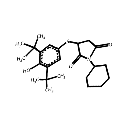 CC(C)(C)c1cc(SC2CC(=O)N(C3CCCCC3)C2=O)cc(C(C)(C)C)c1O